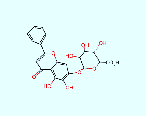 O=C(O)C1O[C@@H](Oc2cc3oc(-c4ccccc4)cc(=O)c3c(O)c2O)C(O)[C@H](O)[C@@H]1O